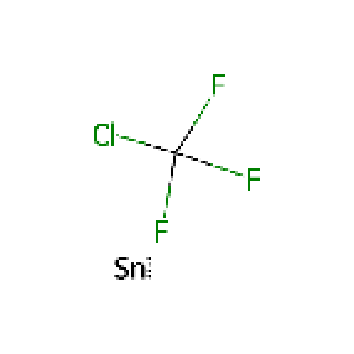 FC(F)(F)Cl.[Sn]